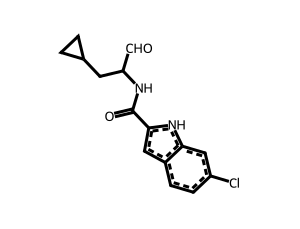 O=CC(CC1CC1)NC(=O)c1cc2ccc(Cl)cc2[nH]1